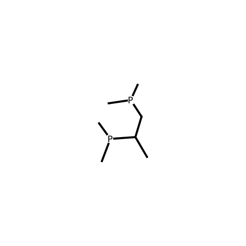 CC(CP(C)C)P(C)C